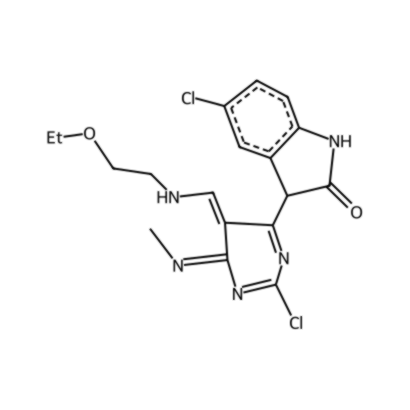 CCOCCN/C=C1/C(C2C(=O)Nc3ccc(Cl)cc32)=NC(Cl)=N/C1=N/C